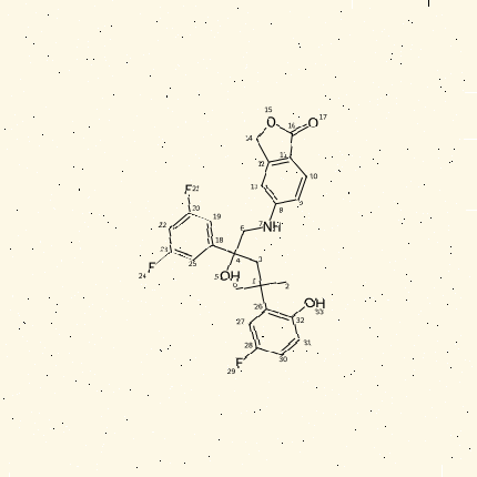 CC(C)(CC(O)(CNc1ccc2c(c1)COC2=O)c1cc(F)cc(F)c1)c1cc(F)ccc1O